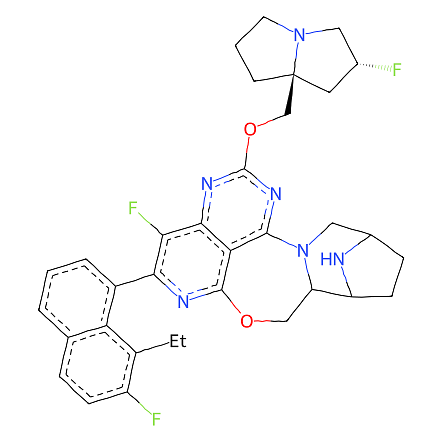 CCc1c(F)ccc2cccc(-c3nc4c5c(nc(OC[C@@]67CCCN6C[C@H](F)C7)nc5c3F)N3CC5CCC(N5)C3CO4)c12